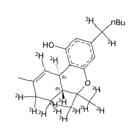 [2H]C1=C(C)C([2H])([2H])C([2H])([2H])[C@@]2([2H])C(C([2H])([2H])[2H])(C([2H])([2H])[2H])Oc3cc(C([2H])([2H])CCCC)cc(O)c3[C@]12[2H]